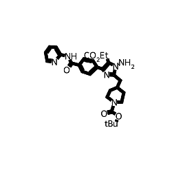 CCOC(=O)c1c(-c2ccc(C(=O)Nc3ccccn3)cc2)nc(CC2CCN(C(=O)OC(C)(C)C)CC2)n1N